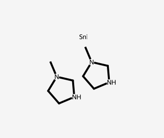 CN1CCNC1.CN1CCNC1.[Sn]